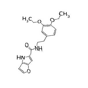 CCOc1ccc(CCNC(=O)c2cc3occc3[nH]2)cc1OCC